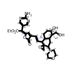 CCOC(=O)/C(=C1C=C(/C=C/C2C3(CO3)C(N3CCOCC3)CC3[C@]2(C)CC[C@@H](O)[C@@]3(C)CO)C(=O)O/1)c1cnc(N)nc1